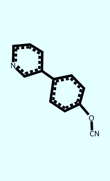 N#COc1ccc(-c2cccnc2)cc1